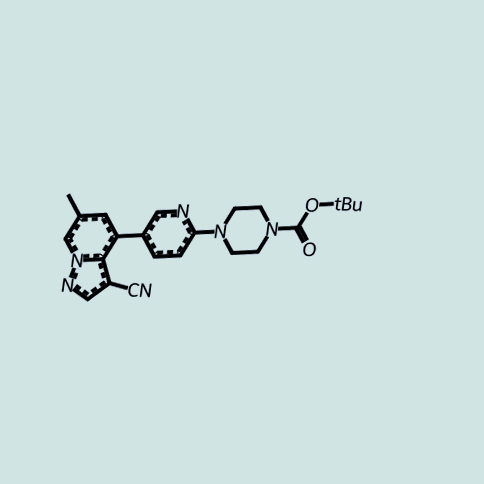 Cc1cc(-c2ccc(N3CCN(C(=O)OC(C)(C)C)CC3)nc2)c2c(C#N)cnn2c1